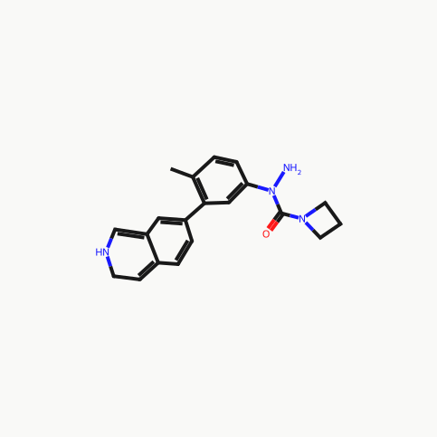 Cc1ccc(N(N)C(=O)N2CCC2)cc1-c1ccc2c(c1)=CNCC=2